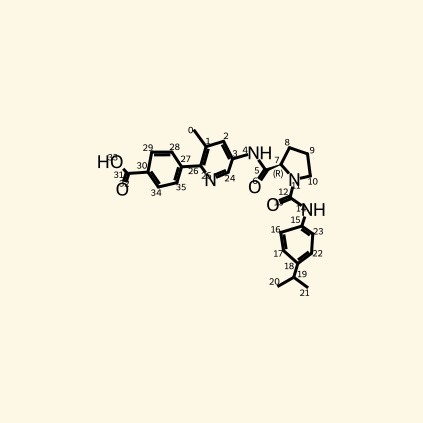 Cc1cc(NC(=O)[C@H]2CCCN2C(=O)Nc2ccc(C(C)C)cc2)cnc1-c1ccc(C(=O)O)cc1